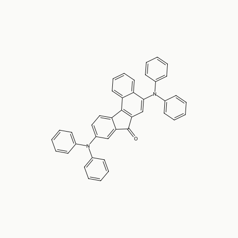 O=C1c2cc(N(c3ccccc3)c3ccccc3)ccc2-c2c1cc(N(c1ccccc1)c1ccccc1)c1ccccc21